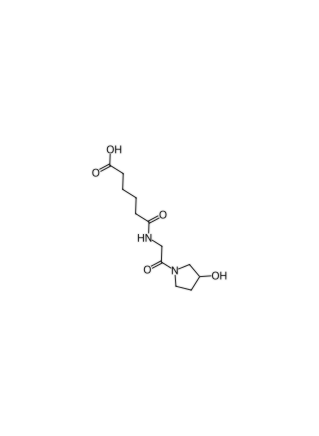 O=C(O)CCCCC(=O)NCC(=O)N1CCC(O)C1